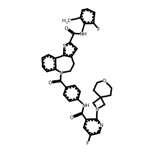 Cc1cccc(F)c1NC(=O)c1cc2c(s1)-c1ccccc1N(C(=O)c1ccc(NC(=O)c3cc(F)cnc3N3CC4(CCOCC4)C3)cc1)CC2